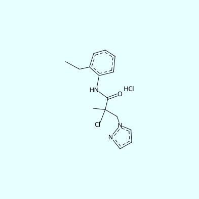 CCc1ccccc1NC(=O)C(C)(Cl)Cn1cccn1.Cl